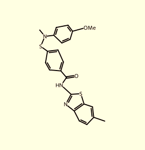 COc1ccc(N(C)Sc2ccc(C(=O)Nc3nc4ccc(C)cc4s3)cc2)cc1